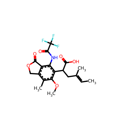 C/C=C(\C)CC(C(=O)O)c1c(NC(=O)C(F)(F)F)c2c(c(C)c1OC)COC2=O